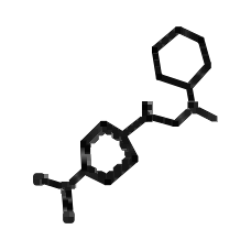 CN(CNc1ccc([N+](=O)[O-])cc1)C1CCCCC1